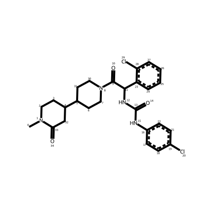 CN1CCC(C2CCN(C(=O)C(NC(=O)Nc3ccc(Cl)cc3)c3ccccc3Cl)CC2)CC1=O